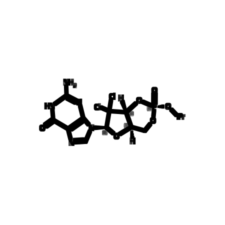 CC(C)O[P@]1(=O)OC[C@H]2O[C@@H](n3cnc4c(=O)[nH]c(N)nc43)C(Cl)(Cl)[C@@H]2O1